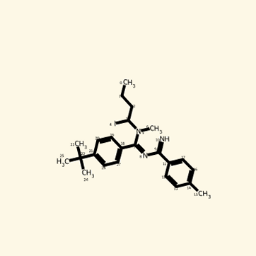 CCCC(I)N(C)/C(=N\C(=N)c1ccc(C)cc1)c1ccc(C(C)(C)C)cc1